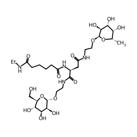 CCNC(=O)CCCCC(=O)N[C@@H](CC(=O)NCCO[C@@H]1O[C@@H](C)[C@@H](O)[C@@H](O)[C@@H]1O)C(=O)NCCO[C@H]1O[C@H](CO)[C@@H](O)[C@H](O)[C@@H]1O